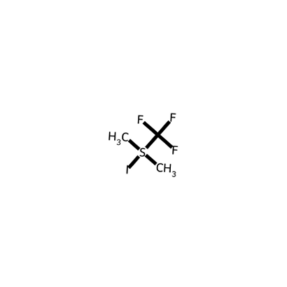 CS(C)(I)C(F)(F)F